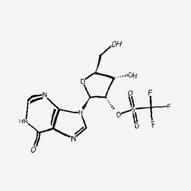 O=c1[nH]cnc2c1ncn2[C@H]1O[C@@H](CO)[C@H](O)[C@@H]1OS(=O)(=O)C(F)(F)F